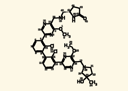 COc1nc(-c2cccc(-c3cccc(-c4cnc(CN5CCC(C)(O)C5)c(OC)n4)c3Cl)c2Cl)cnc1CNC[C@@H]1CCC(=O)N1